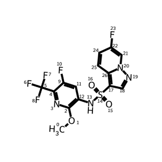 COc1nc(C(F)(F)F)c(F)cc1NS(=O)(=O)c1cnn2cc(F)ccc12